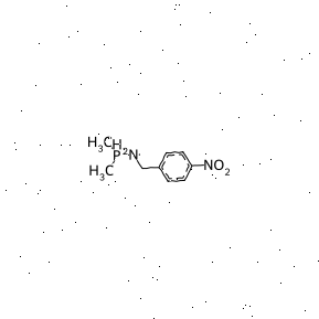 C[PH2](C)[N]Cc1ccc([N+](=O)[O-])cc1